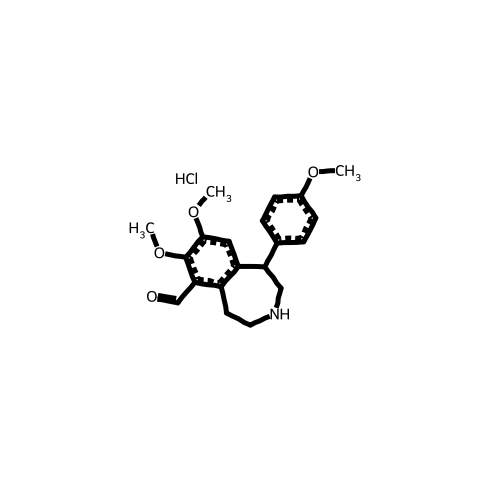 COc1ccc(C2CNCCc3c2cc(OC)c(OC)c3C=O)cc1.Cl